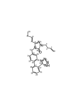 C=CCCn1nc(/C=C/CC)n(Cc2ccc(-c3ccccc3-c3nnn[nH]3)cc2)c1=O